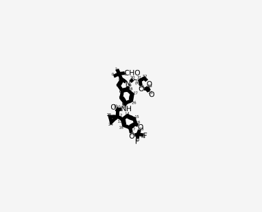 CC(C)(C=O)c1cc2cc(NC(=O)C3(c4ccc5c(c4)OC(F)(F)O5)CC3)ccc2n1C[C@@H]1COC(=O)O1